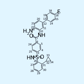 N=S(=O)(c1ccc(C(=O)Nc2cc(-c3ccc(F)cc3)ccc2N)cc1)c1ccccc1C1CC1